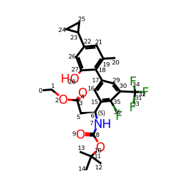 CCOC(=O)C[C@H](NC(=O)OC(C)(C)C)c1cc(-c2c(C)cc(C3CC3)cc2O)cc(C(F)(F)F)c1F